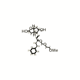 COCCOCO[C@H](C=C[C@@H]1[C@H]2CC(O)O[C@H]2C[C@H]1O)CCc1ccccc1